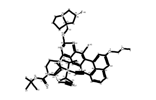 COCOc1cc(-c2c(F)cc3c(N4CCN(C(=O)OC(C)(C)C)[C@@H](CC#N)C4)nc(OC[C@@]45CCCN4C[C@H](F)C5)nc3c2F)c2c(C#C[Si](C(C)C)(C(C)C)C(C)C)cccc2c1